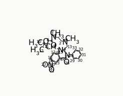 CN(CCN(C)C(=O)OC(C)(C)C)Cc1nc2ccc([N+](=O)[O-])cc2c(=O)n1-c1ccccc1